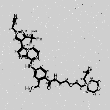 CCc1cc(Nc2nccn3c(-c4cn(CC#N)nc4C(F)(F)F)cnc23)ccc1C(=O)NCCOCC[N+]1(CC#N)CCOCC1